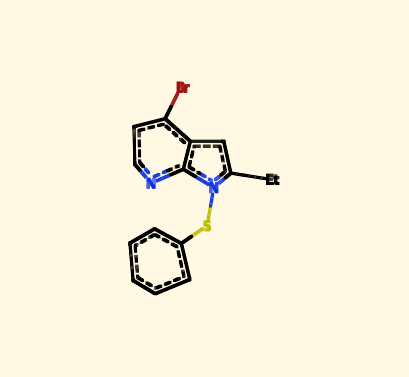 CCc1cc2c(Br)ccnc2n1Sc1ccccc1